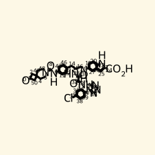 O=C1CC2(CCN(C(=O)Nc3ccc(CC(CNc4ccc5[nH]c(C(=O)O)cc5c4)NC(=O)C(=O)Nc4cc(Cl)ccc4-n4cnnn4)cc3)CC2)C1